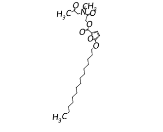 CCCCCCCCCCCCCCCOc1ccc(C(=O)OCC(=O)N(C)CC(C)=O)o1